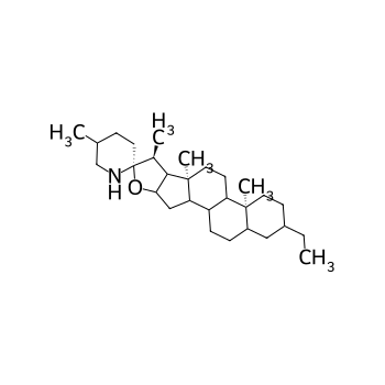 CCC1CC[C@@]2(C)C(CCC3C2CC[C@@]2(C)C3CC3O[C@]4(CCC(C)CN4)[C@@H](C)C32)C1